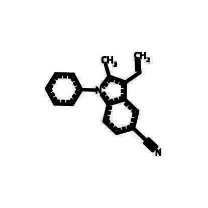 C=Cc1c(C)n(-c2ccccc2)c2ccc(C#N)cc12